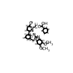 O=C(O)c1ccccc1.[Li][CH2]n1nc(-c2cccc(Cn3c(N)nc4cc(OC)c(OC)cc43)c2)ccc1=O